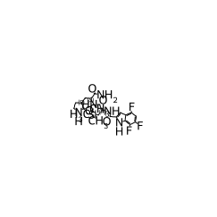 C[Si](C)(C)C[C@H](NC(=O)c1cc2c(F)cc(F)c(F)c2[nH]1)C(=O)N[C@@H](C[C@@H]1CCNC1=O)C(N)=O